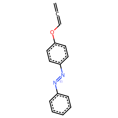 C=C=COc1ccc(/N=N/c2ccccc2)cc1